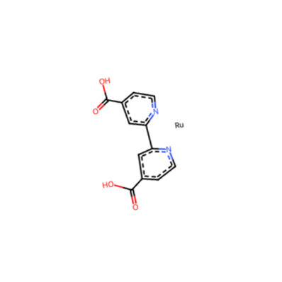 O=C(O)c1ccnc(-c2cc(C(=O)O)ccn2)c1.[Ru]